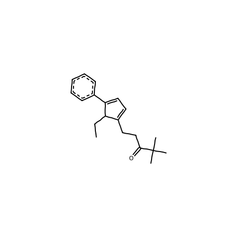 CCC1C(CCC(=O)C(C)(C)C)=CC=C1c1ccccc1